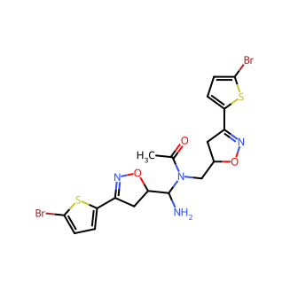 CC(=O)N(CC1CC(c2ccc(Br)s2)=NO1)C(N)C1CC(c2ccc(Br)s2)=NO1